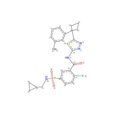 Cc1cccc(C2(c3nnc(NC(=O)c4cc(S(=O)(=O)NCC5CC5)ccc4F)s3)CCC2)c1